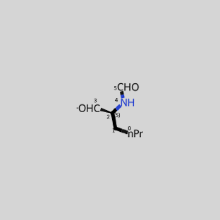 CCCC[C@@H]([C]=O)NC=O